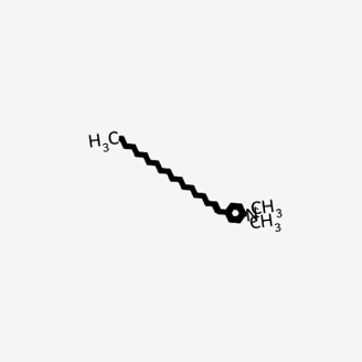 CCCCCCCCCCCCCCCCC/C=C/c1ccc(N(C)C)cc1